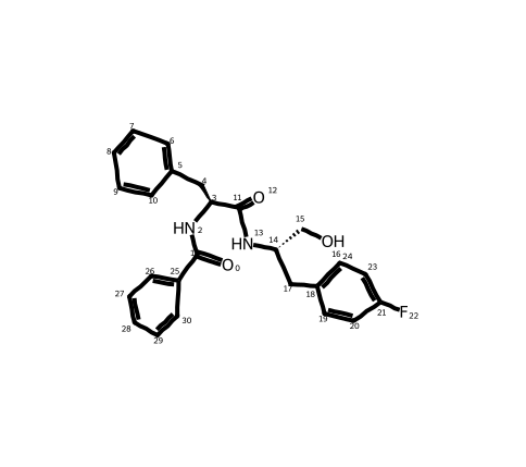 O=C(N[C@@H](Cc1ccccc1)C(=O)N[C@H](CO)Cc1ccc(F)cc1)c1ccccc1